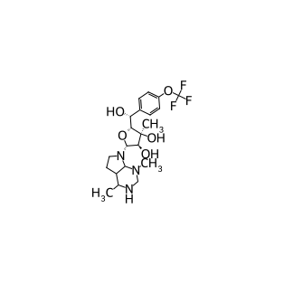 CC1NCN(C)C2C1CCN2[C@@H]1O[C@H]([C@H](O)c2ccc(OC(F)(F)F)cc2)[C@@](C)(O)[C@H]1O